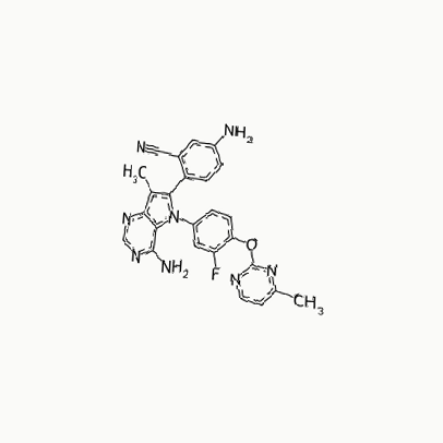 Cc1ccnc(Oc2ccc(-n3c(-c4ccc(N)cc4C#N)c(C)c4ncnc(N)c43)cc2F)n1